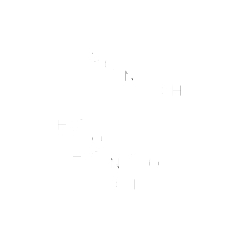 COc1cc(N=C=S)c(C)cc1C(=O)N(C)C